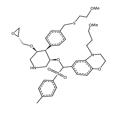 COCCCN1CCOc2ccc(C(O[C@H]3CNC[C@@H](OC[C@H]4CO4)[C@H]3c3ccc(CSCCOC)cc3)S(=O)(=O)c3ccc(C)cc3)cc21